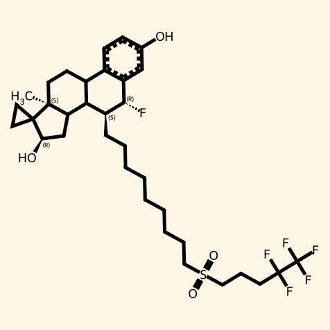 C[C@]12CCC3c4ccc(O)cc4[C@H](F)[C@@H](CCCCCCCCCS(=O)(=O)CCCC(F)(F)C(F)(F)F)C3C1C[C@@H](O)C21CC1